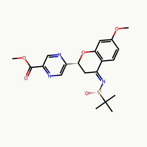 COC(=O)c1cnc([C@H]2C/C(=N\[S@@+]([O-])C(C)(C)C)c3ccc(OC)cc3O2)cn1